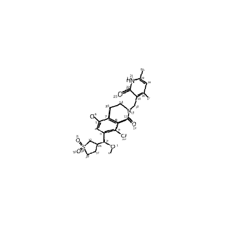 COC(c1cc(Cl)c2c(c1Cl)C(=O)N(Cc1c(C)cc(C)[nH]c1=O)CC2)C1CCS(=O)(=O)C1